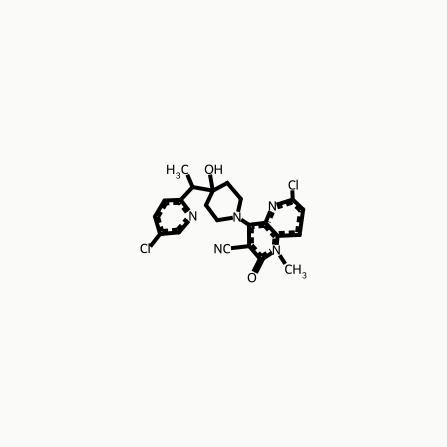 CC(c1ccc(Cl)cn1)C1(O)CCN(c2c(C#N)c(=O)n(C)c3ccc(Cl)nc23)CC1